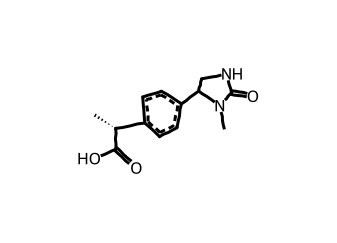 C[C@@H](C(=O)O)c1ccc(C2CNC(=O)N2C)cc1